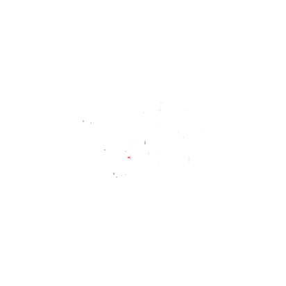 COc1nc(OC)c2c(n1)[C@]1(c3ccccc3)CC(C#N)C(=O)[C@@H](C)[C@@H]1CC2